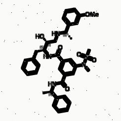 COc1cccc([C@H](C)NC[C@@H](O)[C@H](Cc2ccccc2)NC(=O)c2cc(C(=O)N[C@H](C)c3ccccc3)cc(N(C)S(C)(=O)=O)c2)c1